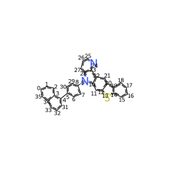 c1ccc2c(-c3ccc(-n4c5cc6sc7ccccc7c6cc5c5ncccc54)cc3)cccc2c1